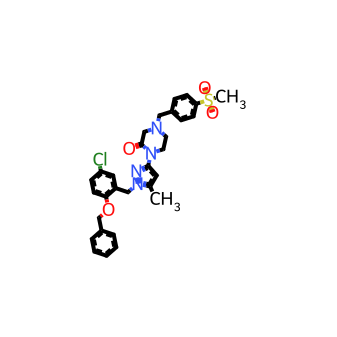 Cc1cc(N2CCN(Cc3ccc(S(C)(=O)=O)cc3)CC2=O)nn1Cc1cc(Cl)ccc1OCc1ccccc1